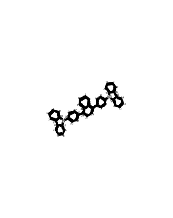 c1ccc2c(-c3ccc(-n4c5ccccc5c5ccccc54)cc3)ccc(-c3ccc(-n4c5ccccc5c5ccccc54)cc3)c2c1